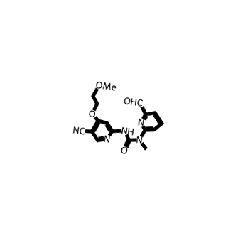 COCCOc1cc(NC(=O)N(C)c2cccc(C=O)n2)ncc1C#N